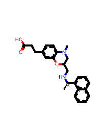 C[C@@H](NCC1CN(C)c2ccc(CCC(=O)O)cc2O1)c1cccc2ccccc12